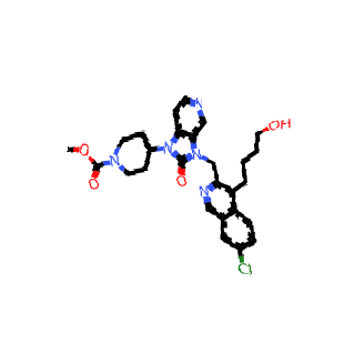 COC(=O)N1CCC(n2c(=O)n(Cc3ncc4cc(Cl)ccc4c3CCCCO)c3cnccc32)CC1